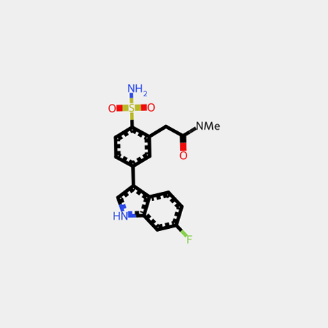 CNC(=O)Cc1cc(-c2c[nH]c3cc(F)ccc23)ccc1S(N)(=O)=O